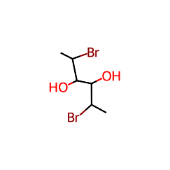 CC(Br)C(O)C(O)C(C)Br